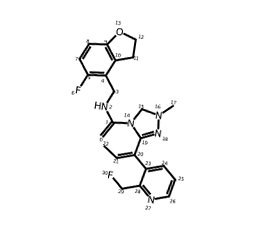 C=C(NCc1c(F)ccc2c1CCO2)N1CN(C)N=C1/C(=C\C)c1cccnc1CF